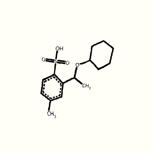 Cc1ccc(S(=O)(=O)O)c(C(C)OC2CCCCC2)c1